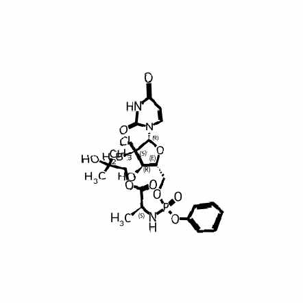 B[C@]1(Cl)[C@H](O)[C@@H](COP(=O)(N[C@@H](C)C(=O)OCC(C)(C)O)Oc2ccccc2)O[C@H]1n1ccc(=O)[nH]c1=O